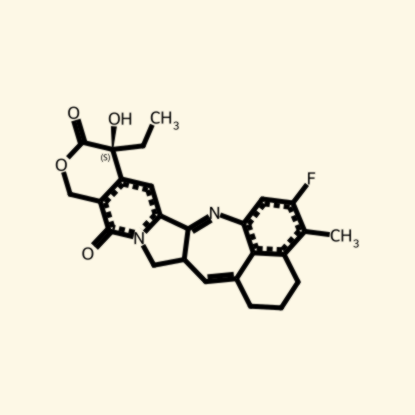 CC[C@@]1(O)C(=O)OCc2c1cc1n(c2=O)CC2C=C3CCCc4c(C)c(F)cc(c43)N=C12